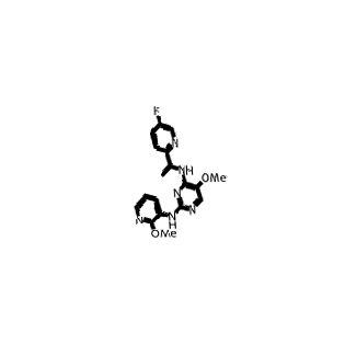 COc1cnc(Nc2cccnc2OC)nc1NC(C)c1ccc(F)cn1